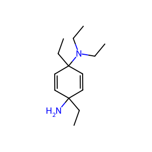 CCN(CC)C1(CC)C=CC(N)(CC)C=C1